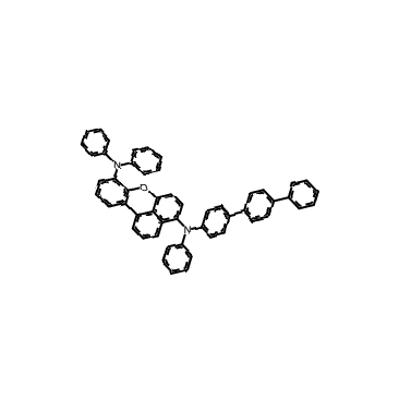 c1ccc(-c2ccc(-c3ccc(N(c4ccccc4)c4ccc5c6c(cccc46)-c4cccc(N(c6ccccc6)c6ccccc6)c4O5)cc3)cc2)cc1